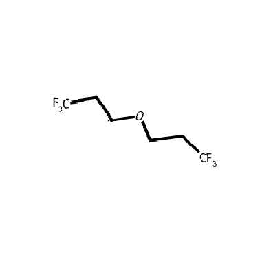 FC(F)(F)C[CH]OCCC(F)(F)F